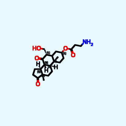 C[C@]12CC[C@H](OC(=O)CCN)CC1[C@@H](CO)C(=O)[C@@H]1[C@@H]2CC[C@]2(C)C(=O)CC[C@@H]12